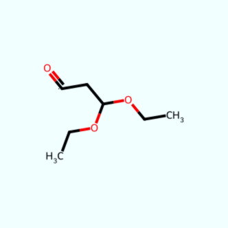 CCOC(C[C]=O)OCC